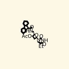 CCc1cn([C@H]2C[C@H](OC(C)=O)[C@@H](CNC(=O)C3c4ccccc4-c4ccccc43)O2)c(=O)[nH]c1=O